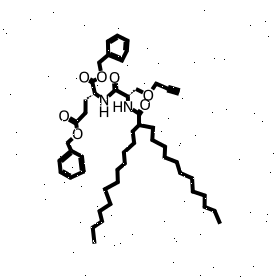 C#CCOC[C@H](NC(=O)C(CCCCCCCCCCCC)CCCCCCCCCCCC)C(=O)N[C@H](CCC(=O)OCc1ccccc1)C(=O)OCc1ccccc1